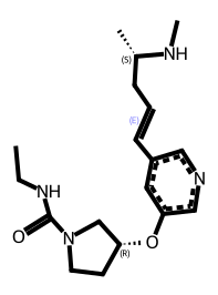 CCNC(=O)N1CC[C@@H](Oc2cncc(/C=C/C[C@H](C)NC)c2)C1